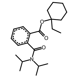 CCC1(OC(=O)c2ccccc2C(=O)N(C(C)C)C(C)C)CCCCC1